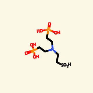 O=P(O)(O)CCN(CCP(=O)(O)O)CCS(=O)(=O)O